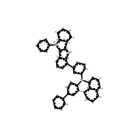 c1ccc(-c2ccc(N(c3cccc(-c4cccc5c4sc4c6ccccc6n(-c6ccccc6)c54)c3)c3cccc4ccccc34)cc2)cc1